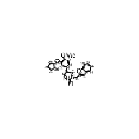 COc1ccc(-c2cnc(=O)n(Cc3cc4ccccc4o3)c2)cc1OC1CCCC1